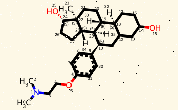 CN(C)CCOc1ccc([C@@H]2CC3CC(O)CC[C@@H]3[C@H]3CC[C@]4(C)[C@@H](O)CC[C@H]4[C@@H]32)cc1